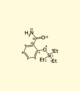 CC[Si](CC)(CC)Oc1ccccc1C(N)=O